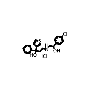 Cl.OC(CNCCC(O)(c1ccccc1)c1ccsc1)c1ccc(Cl)cc1